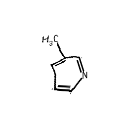 Cc1[c]n[c][c]c1